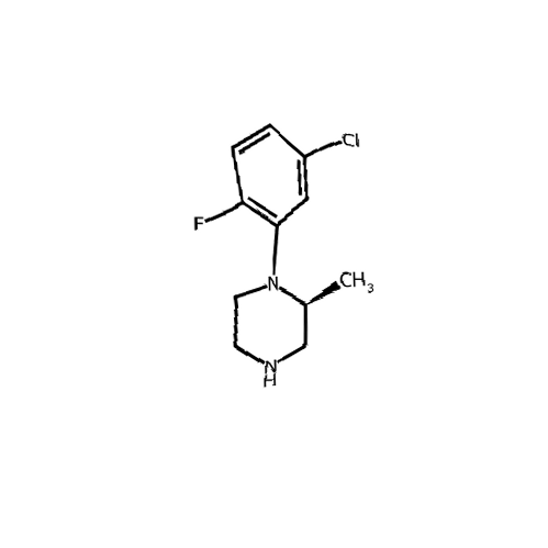 C[C@H]1CNCCN1c1cc(Cl)ccc1F